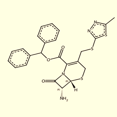 Cc1nnc(SCC2=C(C(=O)OC(c3ccccc3)c3ccccc3)N3C(=O)[C@@H](N)[C@H]3SC2)s1